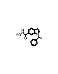 CC(c1ccccc1)n1ccc2ccc(C(=O)NO)cc21